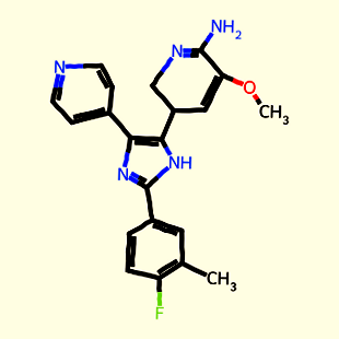 COC1=CC(c2[nH]c(-c3ccc(F)c(C)c3)nc2-c2ccncc2)CN=C1N